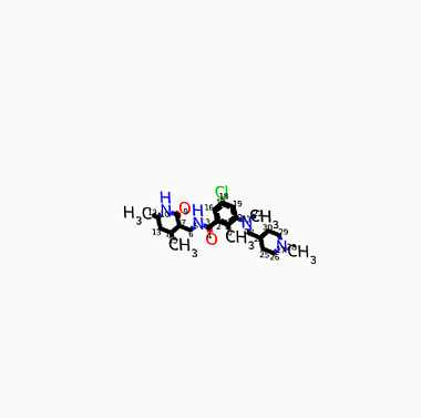 Cc1c(C(=O)NCC2C(=O)NC(C)CC2C)cc(Cl)cc1N(C)CC1CCN(C)CC1